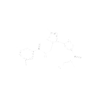 Cc1nc([C@H](C)NC(=O)c2cc(Cl)nc(C(F)(F)F)c2)n(-c2ncc(C(=O)N(C)CC#N)s2)n1